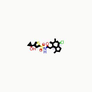 C=C(/C(CC(=O)NS(=O)(=O)c1cc(C2(O)CC2)cs1)=C1\C(=C(/C)Cl)CCC1C)C(C)C